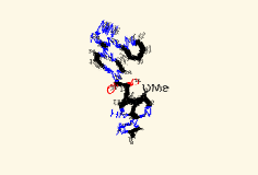 COc1cnc(-n2cc(C)nn2)c2[nH]cc(C(=O)C(=O)N3CCN(c4nnnn4-c4ccccn4)CC3)c12